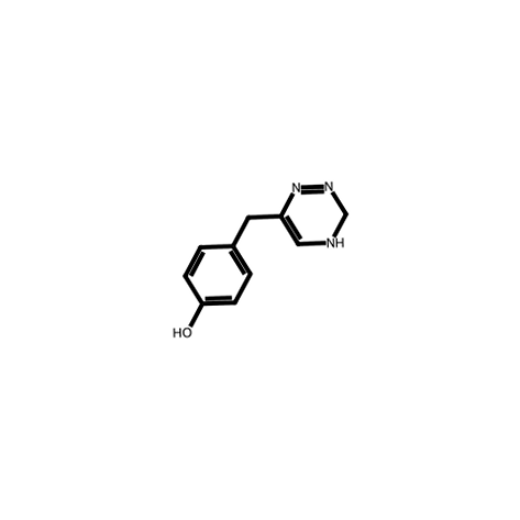 Oc1ccc(CC2=CNCN=N2)cc1